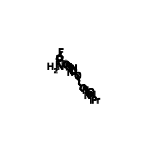 CC(C)c1noc(N2CCC(CCCOc3cnc(N4CC[C@H](c5cc(F)ccc5F)[C@@H](N)C4)nc3)CC2)n1